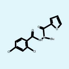 CC(C)(C)N(NC(=O)c1ccc(Cl)cc1Cl)C(=O)c1ccco1